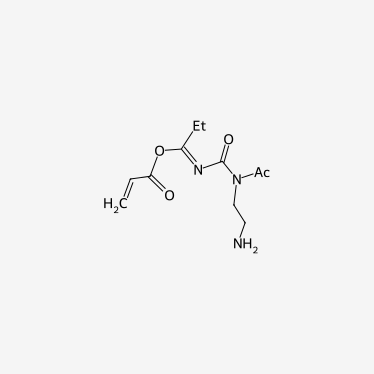 C=CC(=O)OC(CC)=NC(=O)N(CCN)C(C)=O